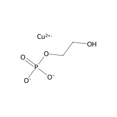 O=P([O-])([O-])OCCO.[Cu+2]